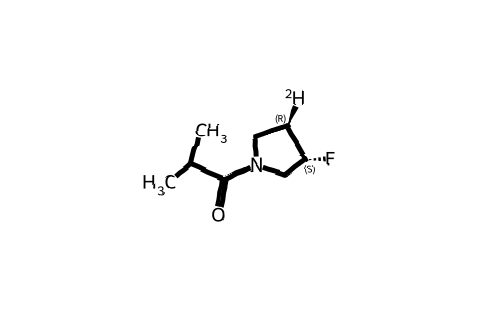 [2H][C@@H]1CN(C(=O)C(C)C)C[C@H]1F